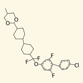 CC1COC(C2CCC(C3CCC(C(F)(F)Oc4cc(F)c(-c5ccc(Cl)cc5)c(F)c4)CC3)CC2)OC1